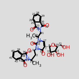 CC(CCn1c(=O)c([C@@H]2O[C@H](CO)C(O)[C@@H]2O)cn(C(C)CN2C(=O)c3ccccc3C2=O)c1=O)N1C(=O)c2ccccc2C1=O